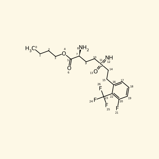 CCCCOC(=O)[C@@H](N)CCS(=N)(=O)CCc1cccc(F)c1C(F)(F)F